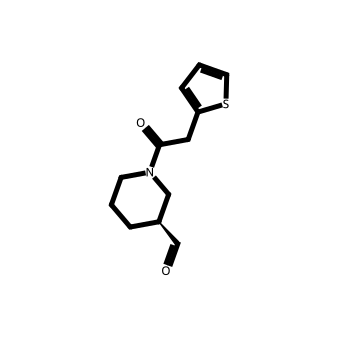 O=C[C@H]1CCCN(C(=O)Cc2cccs2)C1